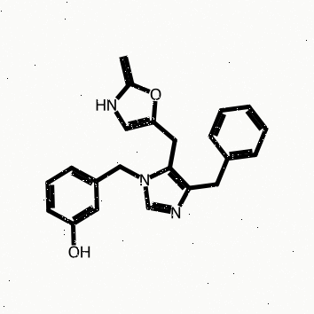 C=C1NC=C(Cc2c(Cc3ccccc3)ncn2Cc2cccc(O)c2)O1